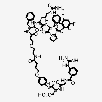 N=C(N)Nc1cccc(C(=O)NCC(=O)N[C@@H](CC(=O)O)C(=O)Nc2ccc(OCCCC(=O)NCCOCCC(=O)N[C@@H](Cc3ccccc3)C(=O)N[C@@H](CCCNC(N)=O)C(=O)N[C@@H](Cc3ccccc3)C(=O)N3CCC[C@H]3C(=O)Oc3c(F)c(F)cc(F)c3F)cc2)c1